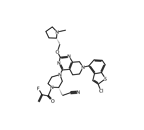 C=C(F)C(=O)N1CCN(c2nc(OC[C@@H]3CCCN3C)nc3c2CCN(c2cccc4sc(Cl)cc24)C3)C[C@@H]1CC#N